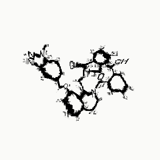 Cn1nnc2cc(COc3cccc4c3[C@@H](CN3Cc5ccccc5C3=O)N(C(=O)[C@@H]3CCCC[C@@H]3C(=O)O)CC4)ccc21